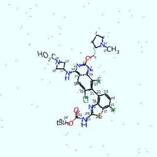 CN1CCC[C@H]1COc1nc(NC2CN(C(=O)O)C2)c2cc(Cl)c(-c3ccc(F)c4sc(NC(=O)OC(C)(C)C)nc34)c(F)c2n1